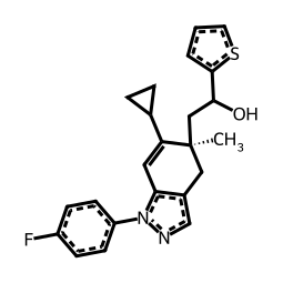 C[C@]1(CC(O)c2cccs2)Cc2cnn(-c3ccc(F)cc3)c2C=C1C1CC1